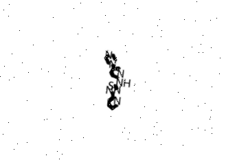 CN1CCN(c2ccc(Nc3nc(-c4ccccn4)ns3)nc2)CC1